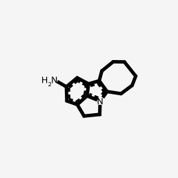 Nc1cc2c3c(c1)c1c(n3CC2)CCCCCC1